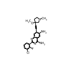 COC1(C#Cc2cc3nc(-c4cccc(Cl)c4F)nc(N)c3cc2N)CCN(C)C1